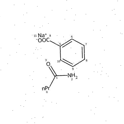 CCCC(N)=O.O=C([O-])c1ccccc1.[Na+]